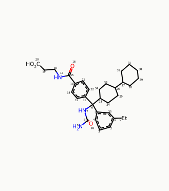 CCc1cccc(C(NC(N)=O)(c2ccc(C(=O)NCCC(=O)O)cc2)C2CCC(C3CCCCC3)CC2)c1